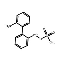 CS(=O)(=O)[O][Pd-5][c]1ccccc1-c1ccccc1N